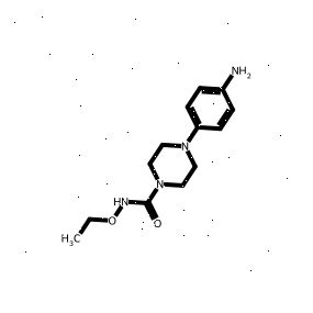 CCONC(=O)N1CCN(c2ccc(N)cc2)CC1